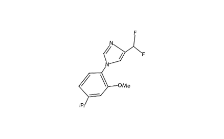 COc1cc(C(C)C)ccc1-n1cnc(C(F)F)c1